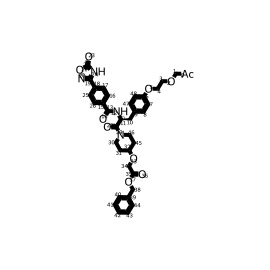 CC(=O)COCCOc1ccc(C[C@H](NC(=O)c2ccc(-c3noc(=O)[nH]3)cc2)C(=O)N2CCC(OCC(=O)OCc3ccccc3)CC2)cc1